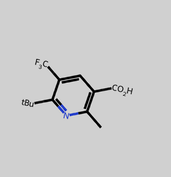 Cc1nc(C(C)(C)C)c(C(F)(F)F)cc1C(=O)O